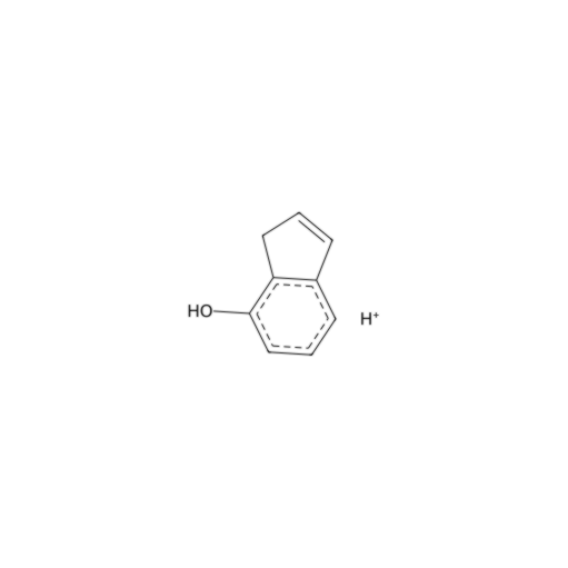 Oc1cccc2c1CC=C2.[H+]